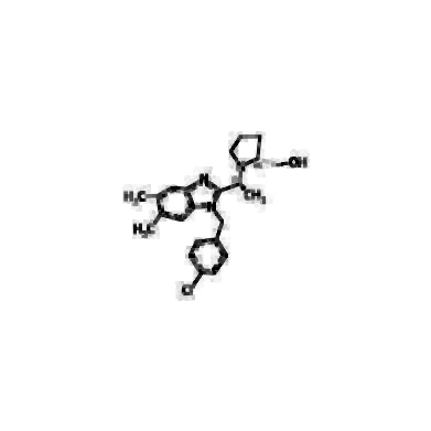 Cc1cc2nc([C@H](C)N3CCC[C@@H]3CO)n(Cc3ccc(Cl)cc3)c2cc1C